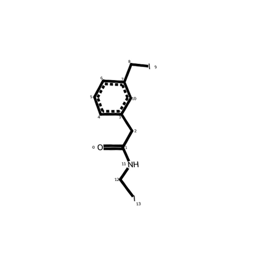 O=C(Cc1cccc(CI)c1)NCI